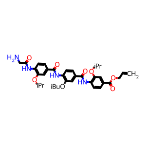 C=CCOC(=O)c1ccc(NC(=O)c2ccc(NC(=O)c3ccc(NC(=O)CN)c(OC(C)C)c3)c(OCC(C)C)c2)c(OC(C)C)c1